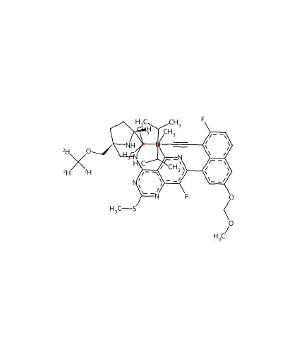 [2H]C([2H])([2H])OC[C@]12CC[C@H](CN(c3nc(SC)nc4c(F)c(-c5cc(OCOC)cc6ccc(F)c(C#C[Si](C(C)C)(C(C)C)C(C)C)c56)nc(OC)c34)C1)N2